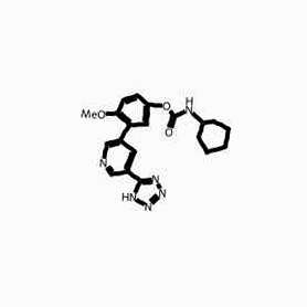 COc1ccc(OC(=O)NC2CCCCC2)cc1-c1cncc(-c2nnn[nH]2)c1